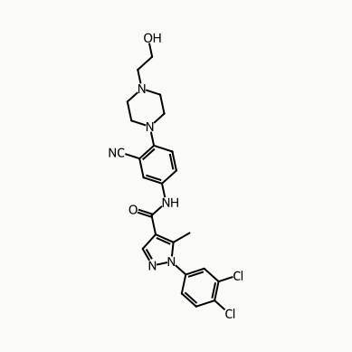 Cc1c(C(=O)Nc2ccc(N3CCN(CCO)CC3)c(C#N)c2)cnn1-c1ccc(Cl)c(Cl)c1